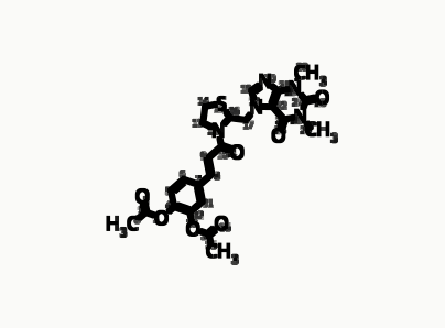 CC(=O)Oc1ccc(C=CC(=O)N2CCSC2Cn2cnc3c2c(=O)n(C)c(=O)n3C)cc1OC(C)=O